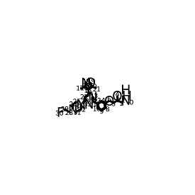 CNCC(O)COc1cccc(-c2nc(-c3c(C)noc3C)cc(N3CCN(CCF)CC3)n2)c1